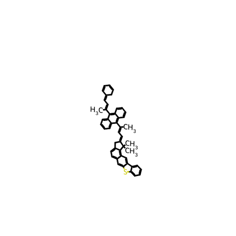 C/C(=C\C=C1\C=CC=CC1)c1c2ccccc2c(/C(C)=C/C=C2\Cc3ccc4cc5sc6ccccc6c5cc4c3C2(C)C)c2ccccc12